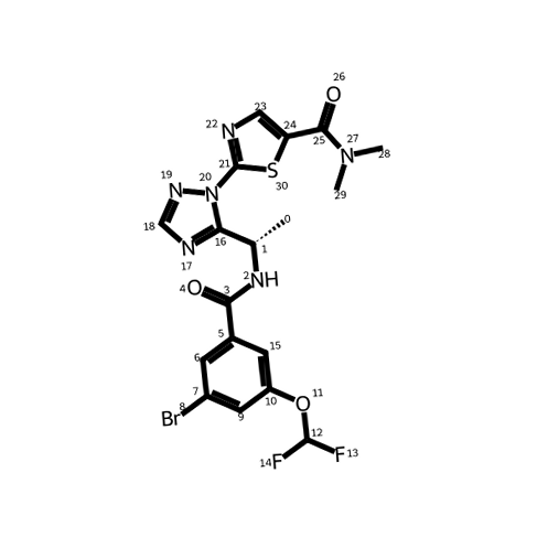 C[C@H](NC(=O)c1cc(Br)cc(OC(F)F)c1)c1ncnn1-c1ncc(C(=O)N(C)C)s1